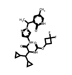 Cc1c[nH]c(=O)c(C(C)n2cc(NC(=O)C(NC(=O)OC3CC(F)(F)C3)C(C3CC3)C3CC3)cn2)c1